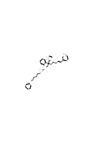 O=C(NCCCCCOc1ccccc1)OC(=O)C(CCCC=Cc1cccnc1)(c1ccccc1)c1ncco1